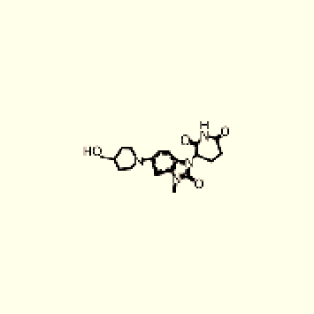 Cn1c(=O)n(C2CCC(=O)NC2=O)c2ccc(N3CCC(CO)CC3)cc21